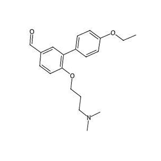 CCOc1ccc(-c2cc(C=O)ccc2OCCCN(C)C)cc1